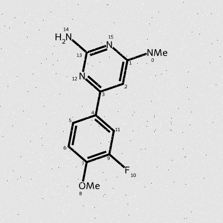 CNc1cc(-c2ccc(OC)c(F)c2)nc(N)n1